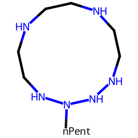 CCCCCN1NCCNCCNCCNN1